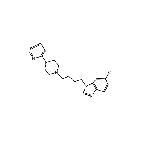 Clc1ccc2ncn(CCCCN3CCN(c4ncccn4)CC3)c2c1